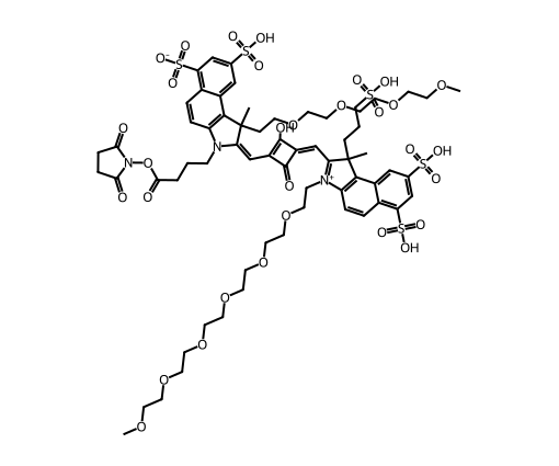 COCCOCCOCCOCCOCCOCC[N+]1=C(/C=C2\C(=O)C(/C=C3/N(CCCC(=O)ON4C(=O)CCC4=O)c4ccc5c(S(=O)(=O)[O-])cc(S(=O)(=O)O)cc5c4C3(C)CCOCCOCCOCCOC)=C2O)C(C)(CCCS(=O)(=O)O)c2c1ccc1c(S(=O)(=O)O)cc(S(=O)(=O)O)cc21